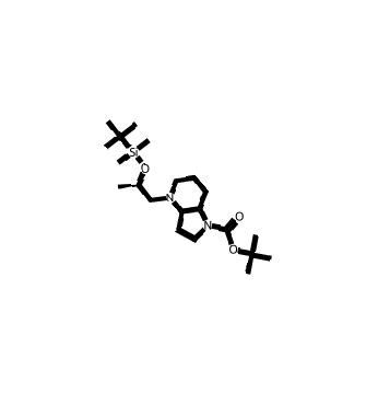 C[C@H](CN1CCCC2C1CCN2C(=O)OC(C)(C)C)O[Si](C)(C)C(C)(C)C